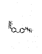 [N-]=[N+]=Nc1ccc(Cc2ccc(N=[N+]=[N-])cc2)cc1